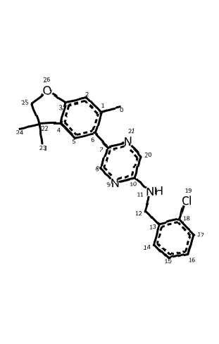 Cc1cc2c(cc1-c1cnc(NCc3ccccc3Cl)cn1)C(C)(C)CO2